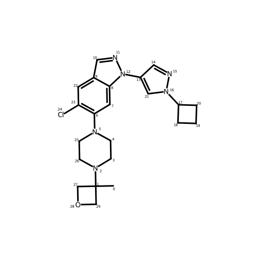 CC1(N2CCN(c3cc4c(cnn4-c4cnn(C5CCC5)c4)cc3Cl)CC2)COC1